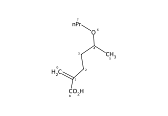 C=C(CCC(C)OCCC)C(=O)O